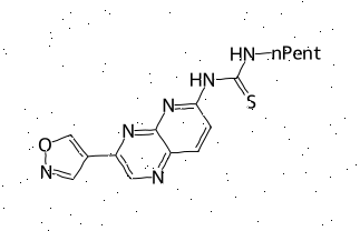 CCCCCNC(=S)Nc1ccc2ncc(-c3cnoc3)nc2n1